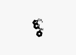 Cn1ccc2ccc(Nc3ccccc3)nc21